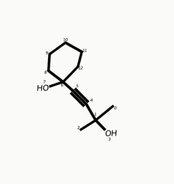 CC(C)(O)C#CC1(O)CCCCC1